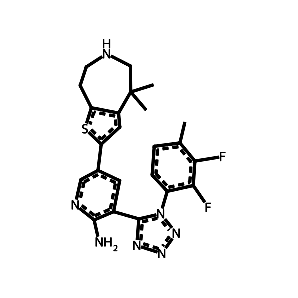 Cc1ccc(-n2nnnc2-c2cc(-c3cc4c(s3)CCNCC4(C)C)cnc2N)c(F)c1F